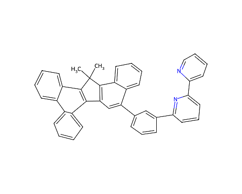 CC1(C)c2c(cc(-c3cccc(-c4cccc(-c5ccccn5)n4)c3)c3ccccc23)-c2c1c1ccccc1c1ccccc21